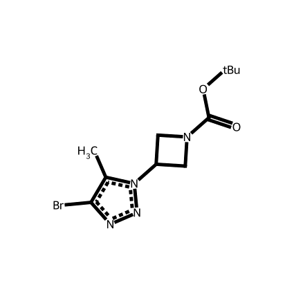 Cc1c(Br)nnn1C1CN(C(=O)OC(C)(C)C)C1